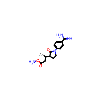 CC(=O)C(CC(=O)ON)C1CCN(c2ccc(C(=N)N)cc2)C1=O